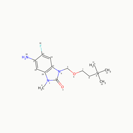 Cn1c(=O)n(COCC[Si](C)(C)C)c2cc(F)c(N)cc21